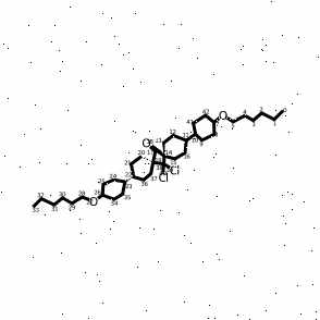 CCCCCCOC1CCC(C2CC[C@]3(CC2)C(=O)[C@@]2(CC[C@@H](C4CCC(OCCCCCC)CC4)CC2)C3(Cl)Cl)CC1